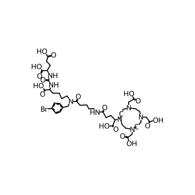 O=C(O)CCC(NC(=O)NC(CCCCN(Cc1ccc(Br)cc1)C(=O)CCCCNC(=O)CCC(C(=O)O)N1CCN(CC(=O)O)CCN(CC(=O)O)CCN(CC(=O)O)CC1)C(=O)O)C(=O)O